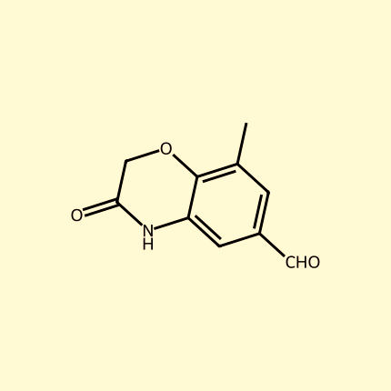 Cc1cc(C=O)cc2c1OCC(=O)N2